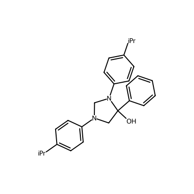 CC(C)c1ccc(N2CN(c3ccc(C(C)C)cc3)C(O)(c3ccccc3)C2)cc1